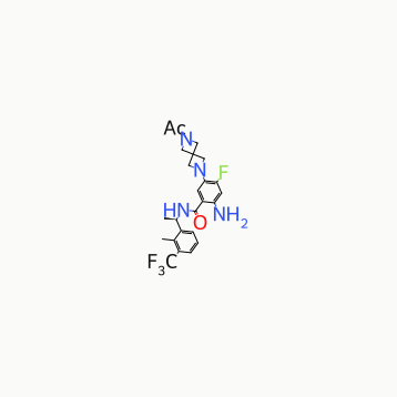 CC(=O)N1CC2(C1)CN(c1cc(C(=O)N[C@H](C)c3cccc(C(F)(F)F)c3C)c(N)cc1F)C2